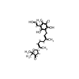 C/C(=C\Cc1c(O)c(Cl)c(C)c(/C=N/O)c1O)CC/C=C(\C)[C@@H]1CC(=O)C(C)(C)O1